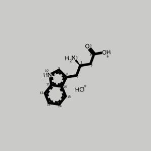 Cl.N[C@@H](CC(=O)O)Cc1c[nH]c2ccccc12